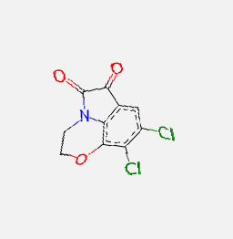 O=C1C(=O)N2CCOc3c(Cl)c(Cl)cc1c32